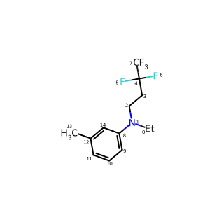 CCN(CCC(F)(F)C(F)(F)F)c1cccc(C)c1